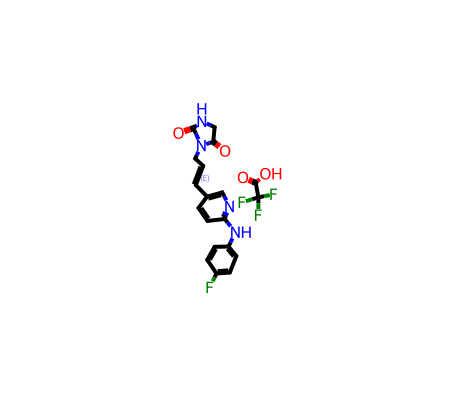 O=C(O)C(F)(F)F.O=C1CNC(=O)N1C/C=C/c1ccc(Nc2ccc(F)cc2)nc1